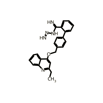 CCc1cc(OCc2ccc(-c3ccccc3C(=N)NN=N)cc2)c2ccccc2n1